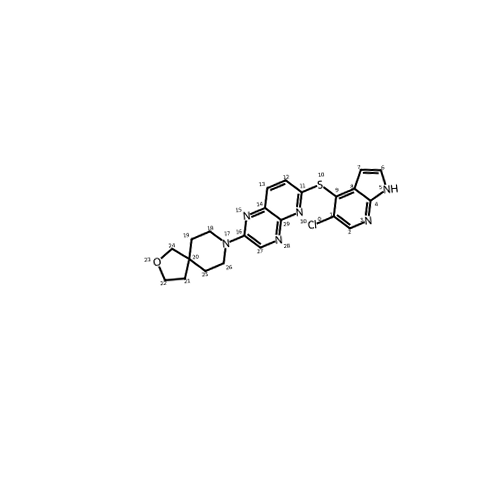 Clc1cnc2[nH]ccc2c1Sc1ccc2nc(N3CCC4(CCOC4)CC3)cnc2n1